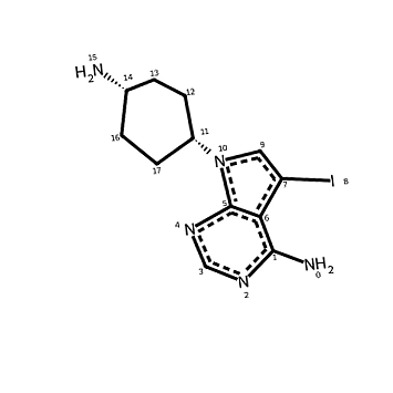 Nc1ncnc2c1c(I)cn2[C@H]1CC[C@@H](N)CC1